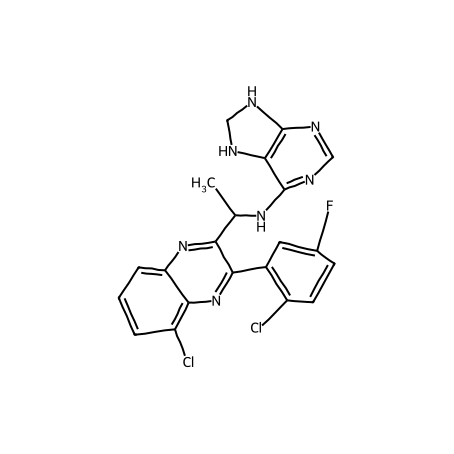 CC(Nc1ncnc2c1NCN2)c1nc2cccc(Cl)c2nc1-c1cc(F)ccc1Cl